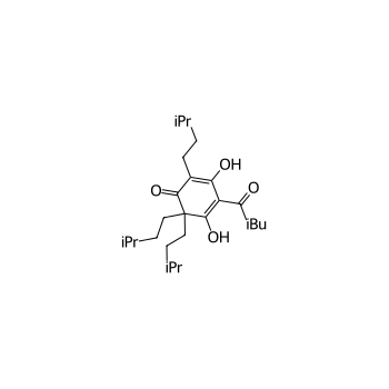 CCC(C)C(=O)C1=C(O)C(CCC(C)C)(CCC(C)C)C(=O)C(CCC(C)C)=C1O